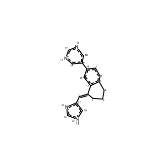 C(=C1/CCCc2ccc(-c3cncnc3)cc21)/c1c[nH]cn1